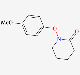 COc1ccc(ON2CCCCC2=O)cc1